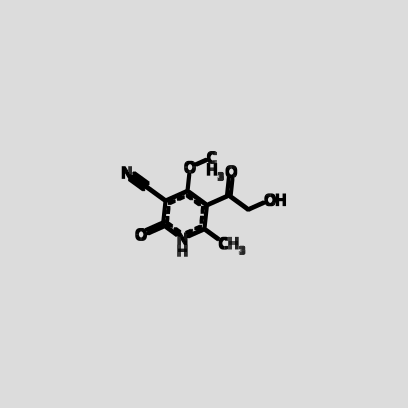 COc1c(C(=O)CO)c(C)[nH]c(=O)c1C#N